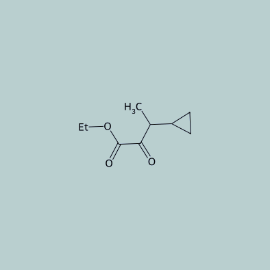 CCOC(=O)C(=O)C(C)C1CC1